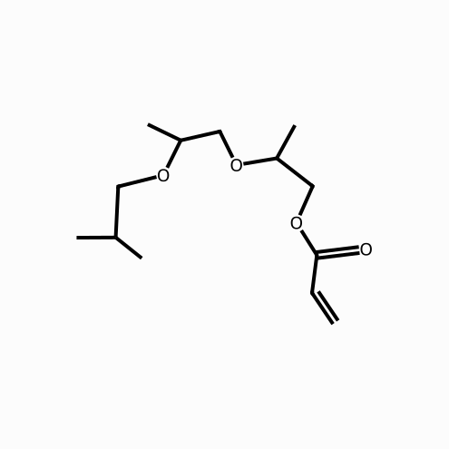 C=CC(=O)OCC(C)OCC(C)OCC(C)C